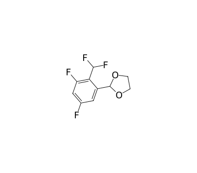 Fc1cc(F)c(C(F)F)c(C2OCCO2)c1